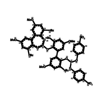 CCCCc1cc(OC)cc(-c2cc(OC)cc(CCCC)c2Op2oc3c(CCCC)cc(OC)cc3c3cc(OC)cc(CCCC)c3o2)c1OP(Oc1ccc([N+](=O)[O-])cc1)Oc1ccc([N+](=O)[O-])cc1